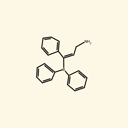 NCC=C(B(c1ccccc1)c1ccccc1)c1ccccc1